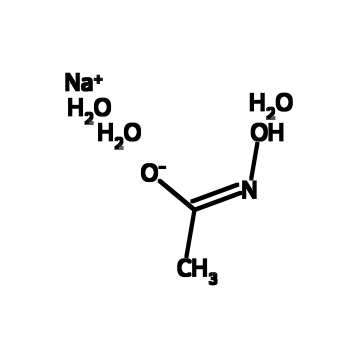 CC([O-])=NO.O.O.O.[Na+]